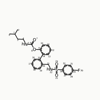 CC(C)CCNC(=O)Oc1ccccc1-c1ccccc1CNS(=O)(=O)c1ccc(F)cc1